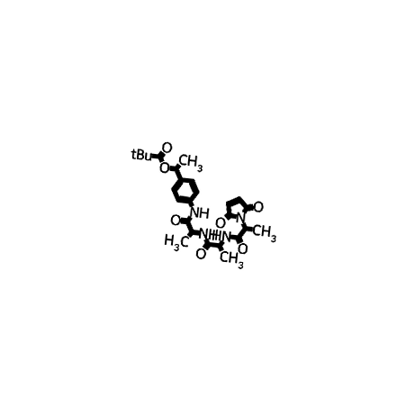 CC(NC(=O)C(C)NC(=O)C(C)N1C(=O)C=CC1=O)C(=O)Nc1ccc(C(C)OC(=O)C(C)(C)C)cc1